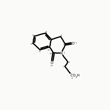 O=C(O)CCN1C(=O)Cc2ccccc2C1=O